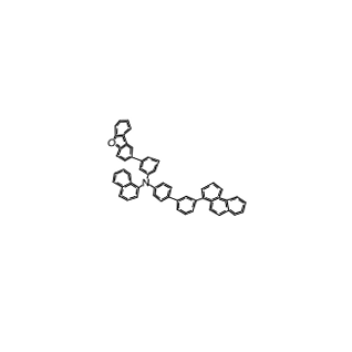 c1cc(-c2ccc(N(c3cccc(-c4ccc5oc6ccccc6c5c4)c3)c3cccc4ccccc34)cc2)cc(-c2cccc3c2ccc2ccccc23)c1